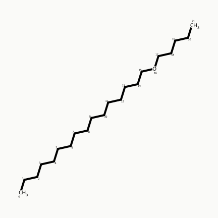 CCCCCCCCCCCCCCC[CH]OCCCCC